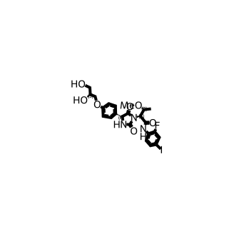 CO[C@H](C)[C@@H](C(=O)Nc1ccc(I)cc1F)N1C(=O)N[C@H](c2ccc(OC[C@@H](O)CO)cc2)C1=O